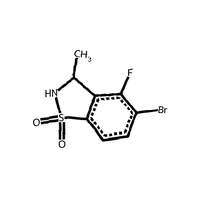 CC1NS(=O)(=O)c2ccc(Br)c(F)c21